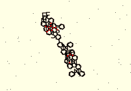 FC(F)(F)c1cccc(-n2c3ccccc3c3c4sc5cc(-c6ccc7c8ccc9c(c%10ccccc%10n9-c9cccnc9-c9c(-n%10c%11ccccc%11c%11c%10ccc%10c%12ccccc%12n(-c%12ccccc%12)c%10%11)cccc9C(F)(F)F)c8n(-c8ccccc8)c7c6)ccc5c4ccc32)c1-c1ncccc1-n1c2ccccc2c2c3sc4ccccc4c3ccc21